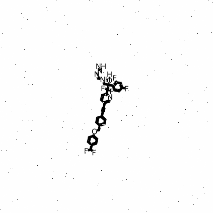 N=N/N=C\NCC(O)(c1ccc(F)cc1F)C(F)(F)c1ccc(C#Cc2ccc(COc3ccc(C(F)F)cc3)cc2)cn1